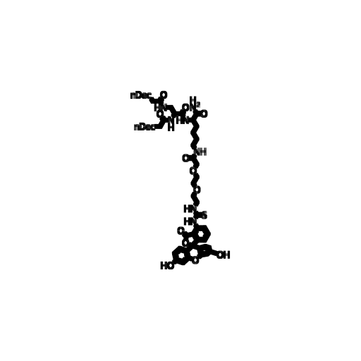 CCCCCCCCCCCC(=O)NCC(NC(=O)CCCCCCCCCCC)C(=O)NC(CCCCNC(=O)COCCOCCNC(=S)Nc1cccc2c1C(=O)OC21c2ccc(O)cc2Oc2cc(O)ccc21)C(N)=O